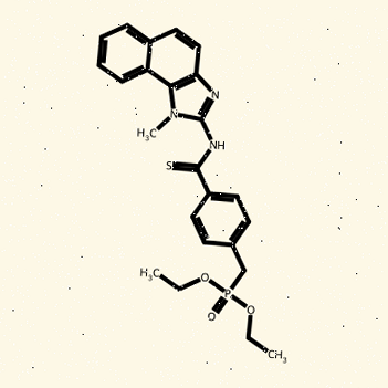 CCOP(=O)(Cc1ccc(C(=S)Nc2nc3ccc4ccccc4c3n2C)cc1)OCC